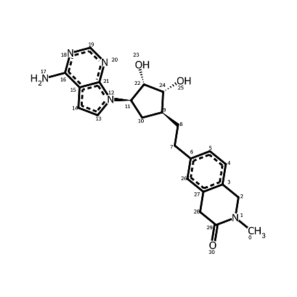 CN1Cc2ccc(CC[C@H]3C[C@@H](n4ccc5c(N)ncnc54)[C@H](O)[C@@H]3O)cc2CC1=O